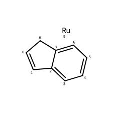 C1=Cc2ccccc2C1.[Ru]